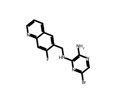 Nc1ncc(Br)nc1NCc1cc2cccnc2cc1F